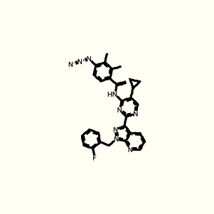 C=C(Nc1nc(-c2nn(Cc3ccccc3F)c3ncccc23)ncc1C1CC1)c1ccc(N=[N+]=[N-])c(C)c1C